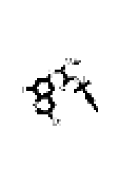 CC#CC(C)(C)NC(=O)C(Oc1cc(F)c2ncc(CC)cc2c1)SC